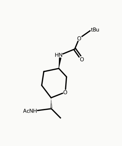 CC(=O)NC(C)[C@@H]1CC[C@@H](NC(=O)OC(C)(C)C)CO1